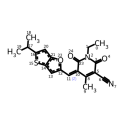 CCN1C(=O)C(C#N)=C(C)/C(=C/c2cc3sc(C(C)C)cc3o2)C1=O